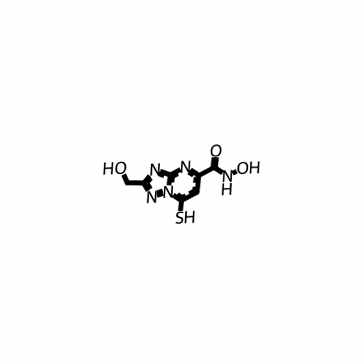 O=C(NO)c1cc(S)n2nc(CO)nc2n1